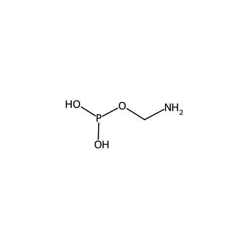 NCOP(O)O